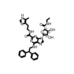 CCNC(=O)[C@H]1O[C@@H](n2cnc3c(NCC(c4ccccc4)c4ccccc4)nc(C(=O)NCCc4nc[nH]c4C)nc32)[C@@H](O)[C@@H]1O